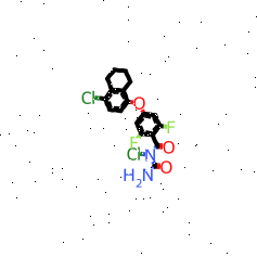 NC(=O)N(Cl)C(=O)c1c(F)cc(Oc2ccc(Cl)c3c2CCCC3)cc1F